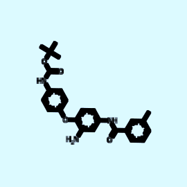 Cc1cccc(C(=O)Nc2ccc(Oc3ccc(NC(=O)OC(C)(C)C)cc3)c(N)c2)c1